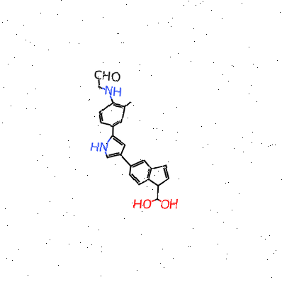 Cc1cc(-c2cc(-c3ccc4c(c3)C=CC4C(O)O)c[nH]2)ccc1NCC=O